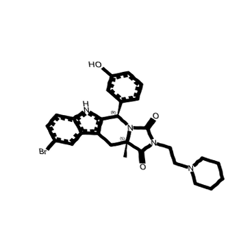 C[C@@]12Cc3c([nH]c4ccc(Br)cc34)[C@@H](c3cccc(O)c3)N1C(=O)N(CCN1CCCCC1)C2=O